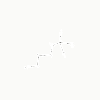 CCC(F)(F)OCCCF